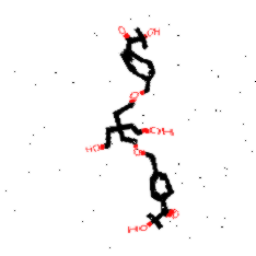 CC(C)(O)C(=O)c1ccc(COCCC(CCO)(CCO)CCOCc2ccc(C(=O)C(C)(C)O)cc2)cc1